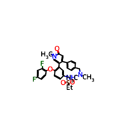 CCS(=O)(=O)Nc1ccc(Oc2ccc(F)cc2F)c(-c2cn(C)c(=O)cc2-c2ccc(CN(C)C)cc2)c1